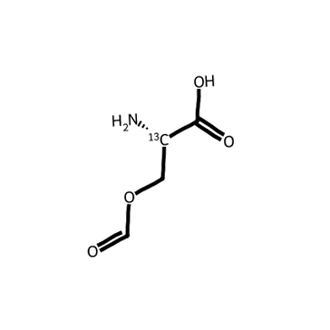 N[13C@@H](COC=O)C(=O)O